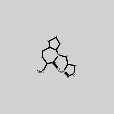 CNC1CCC2CCCC2N(CC2COC=N2)C1=O